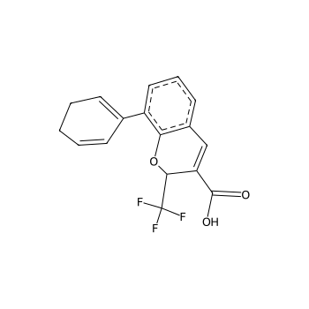 O=C(O)C1=Cc2cccc(C3=CCCC=C3)c2OC1C(F)(F)F